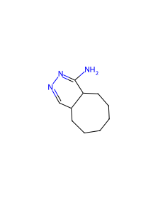 NC1=NN=CC2CCCCCCC12